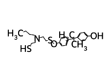 CCCCN(CCS)CCSOc1ccc(C(C)(C)c2ccc(O)cc2)cc1